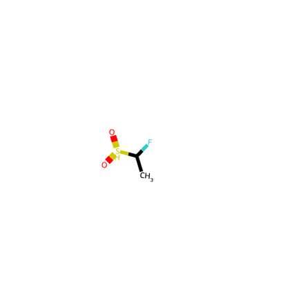 CC(F)[SH](=O)=O